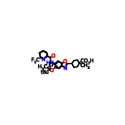 CC1(C(=O)O)CCC(c2nc3cc(O[Si](C)(C)C(C)(C)C)c(NC(=O)c4cccc(C(F)(F)F)n4)cc3o2)CC1